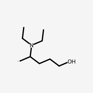 [CH2]C(CCCO)N(CC)CC